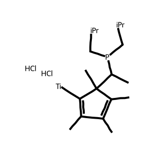 CC1=C(C)C(C)(C(C)P(CC(C)C)CC(C)C)[C]([Ti])=C1C.Cl.Cl